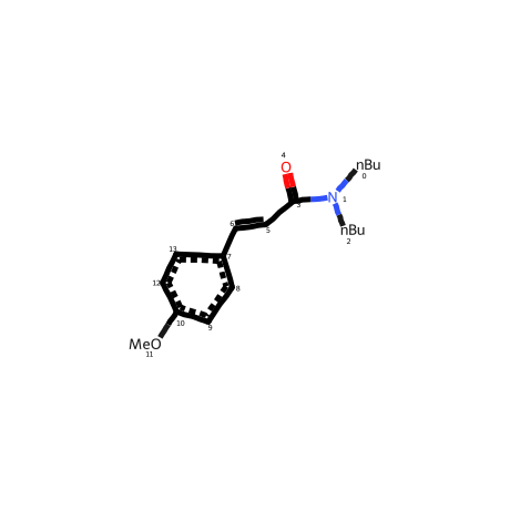 CCCCN(CCCC)C(=O)C=Cc1ccc(OC)cc1